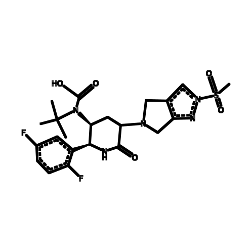 CC(C)(C)N(C(=O)O)[C@H]1CC(N2Cc3cn(S(C)(=O)=O)nc3C2)C(=O)N[C@H]1c1cc(F)ccc1F